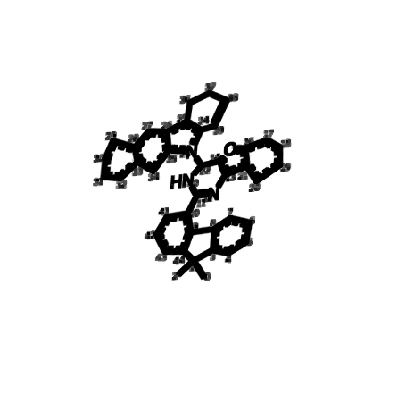 CC1(C)c2ccccc2-c2c(C3=Nc4c(oc5ccccc45)C(n4c5c(c6cc7ccccc7cc64)CCC=C5)N3)cccc21